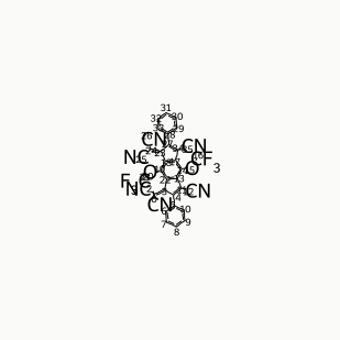 N#CC(C#N)=C1C(c2ccccc2)=C(C#N)c2c(OC(F)(F)F)c3c(c(OC(F)(F)F)c21)C(=C(C#N)C#N)C(c1ccccc1)=C3C#N